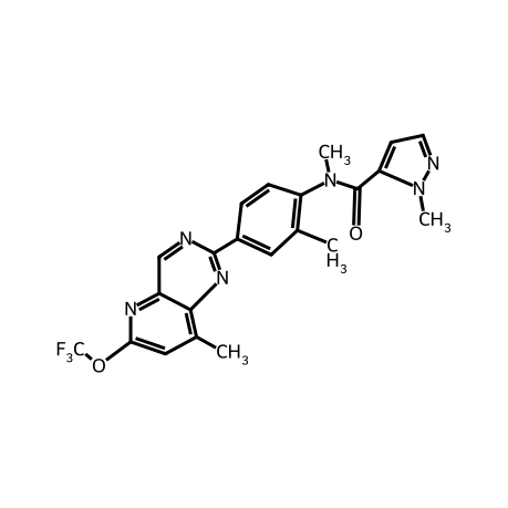 Cc1cc(-c2ncc3nc(OC(F)(F)F)cc(C)c3n2)ccc1N(C)C(=O)c1ccnn1C